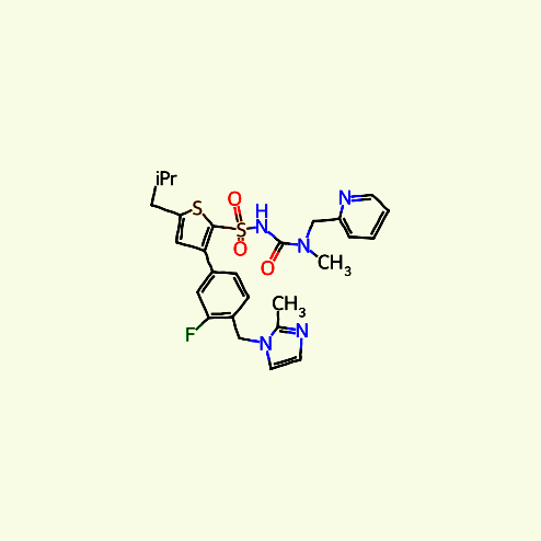 Cc1nccn1Cc1ccc(-c2cc(CC(C)C)sc2S(=O)(=O)NC(=O)N(C)Cc2ccccn2)cc1F